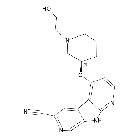 N#Cc1cc2c(cn1)[nH]c1nccc(O[C@@H]3CCCN(CCO)C3)c12